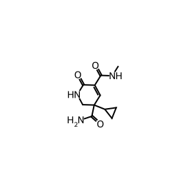 CNC(=O)C1=CC(C(N)=O)(C2CC2)CNC1=O